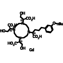 CCCCOc1cccc(CCC[C@@H](C(=O)O)N2CCN([C@@H](CO)C(=O)O)CCN([C@@H](CO)C(=O)O)CCN([C@@H](CO)C(=O)O)CC2)c1.[Gd]